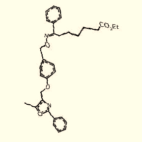 CCOC(=O)CCCCC/C(=N\OCc1ccc(OCc2nc(-c3ccccc3)oc2C)cc1)c1ccccc1